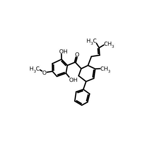 COc1cc(O)c(C(=O)C2CC(c3ccccc3)C=C(C)C2CC=C(C)C)c(O)c1